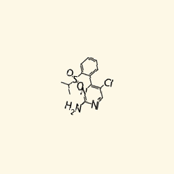 CC(C)S(=O)(=O)c1ccccc1-c1nc(N)ncc1Cl